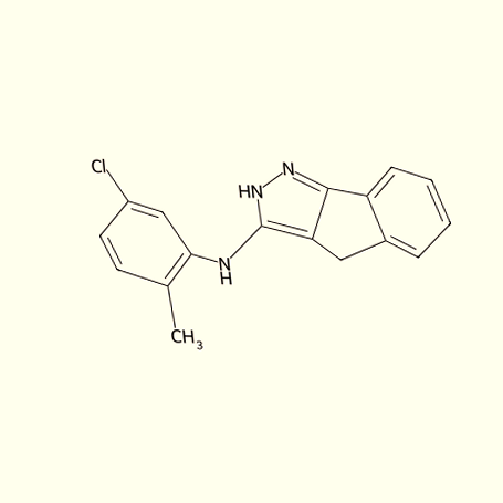 Cc1ccc(Cl)cc1Nc1[nH]nc2c1Cc1ccccc1-2